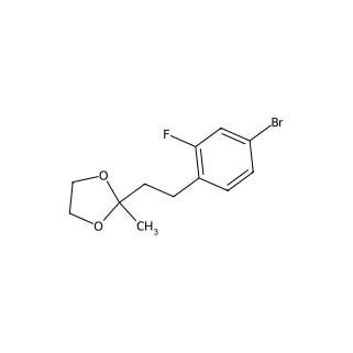 CC1(CCc2ccc(Br)cc2F)OCCO1